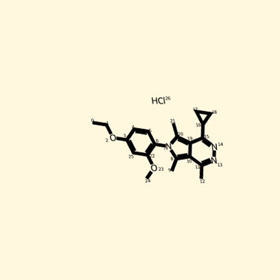 CCOc1ccc(-n2c(C)c3c(C)nnc(C4CC4)c3c2C)c(OC)c1.Cl